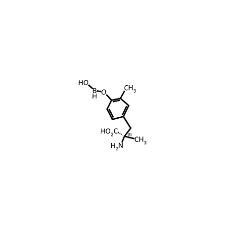 Cc1cc(C[C@@](C)(N)C(=O)O)ccc1OBO